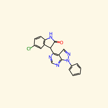 O=C1Nc2ccc(Cl)cc2C1c1ncnc2c1cnn2-c1ccccc1